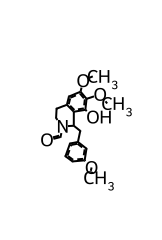 COc1cccc(CC2c3c(cc(OC)c(OC)c3O)CCN2C=O)c1